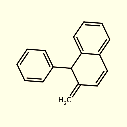 C=C1C=Cc2ccccc2C1c1ccccc1